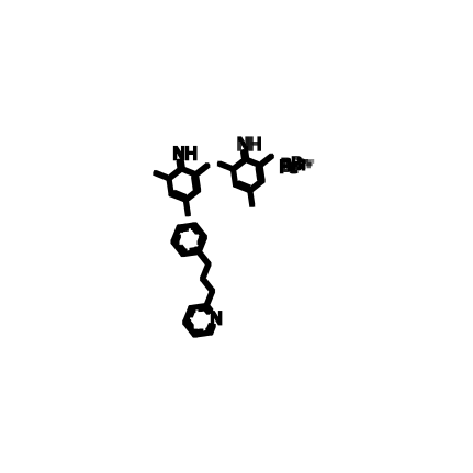 CC1=CC(C)C(=N)C(C)=C1.CC1=CC(C)C(=N)C(C)=C1.[Br-].[Br-].[Fe+2].c1ccc(CCCc2ccccn2)cc1